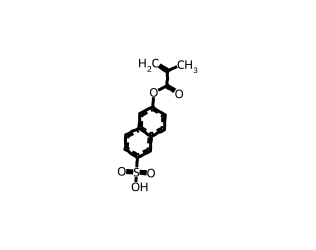 C=C(C)C(=O)Oc1ccc2cc(S(=O)(=O)O)ccc2c1